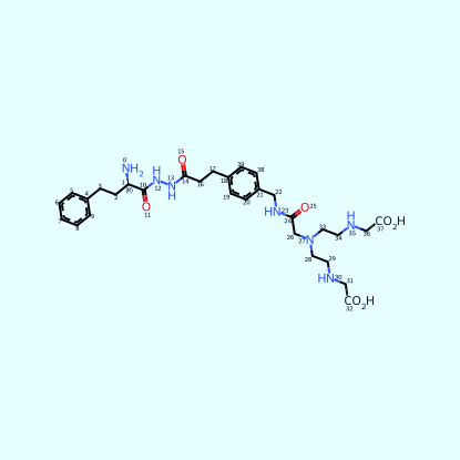 N[C@H](CCc1ccccc1)C(=O)NNC(=O)CCc1ccc(CNC(=O)CN(CCNCC(=O)O)CCNCC(=O)O)cc1